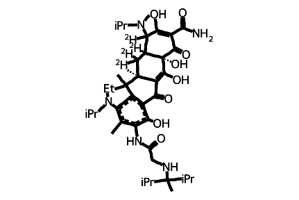 [2H]C1(N(C)C(C)C)C(O)=C(C(N)=O)C(=O)[C@@]2(O)C(O)=C3C(=O)c4c(O)c(NC(=O)CNC(C)(C(C)C)C(C)C)c(C)c(N(CC)C(C)C)c4C(C)(C)[C@@]3(C)C([2H])([2H])[C@@]12[2H]